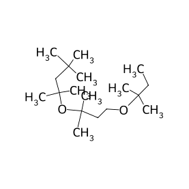 CCC(C)(C)OCCC(C)(C)OC(C)(C)CC(C)(C)C